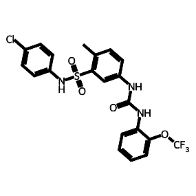 Cc1ccc(NC(=O)Nc2ccccc2OC(F)(F)F)cc1S(=O)(=O)Nc1ccc(Cl)cc1